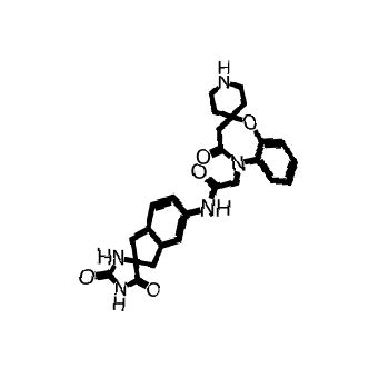 O=C(CN1C(=O)CC2(CCNCC2)Oc2ccccc21)NC1=CC2CC3(CC2C=C1)NC(=O)NC3=O